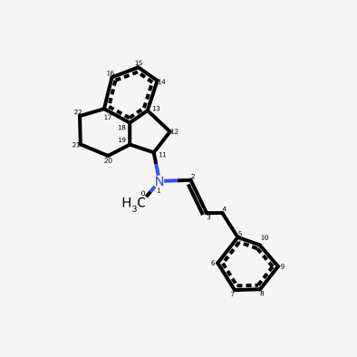 CN(C=CCc1ccccc1)C1Cc2cccc3c2C1CCC3